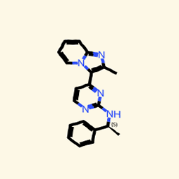 Cc1nc2ccccn2c1-c1ccnc(N[C@@H](C)c2ccccc2)n1